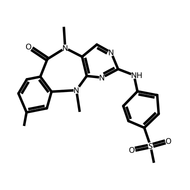 Cc1ccc2c(c1)N(C)c1nc(Nc3ccc(S(C)(=O)=O)cc3)ncc1N(C)C2=O